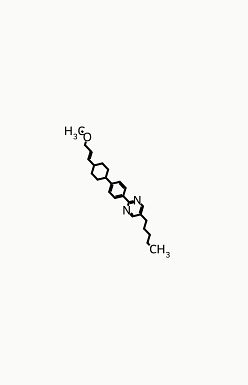 CCCCCc1cnc(-c2ccc(C3CCC(C=CCOC)CC3)cc2)nc1